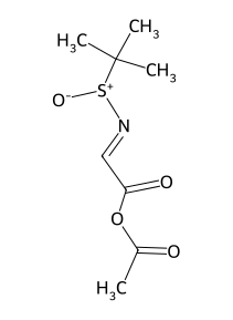 CC(=O)OC(=O)/C=N/[S+]([O-])C(C)(C)C